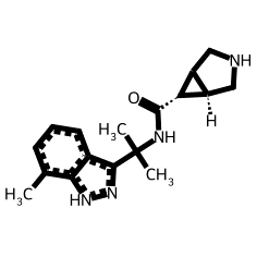 Cc1cccc2c(C(C)(C)NC(=O)[C@@H]3C4CNC[C@H]43)n[nH]c12